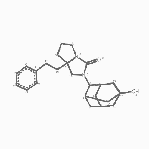 O=C1N(C2C3CC4CC2CC(O)(C4)C3)CC2(CCc3ccccc3)CCCN12